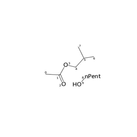 CC(=O)OCC(C)C.CCCCCO